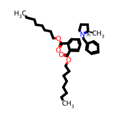 CCCCCCCCOC(=O)c1ccccc1C(=O)OCCCCCCCC.C[C@@H]1CCCN1Cc1ccccc1